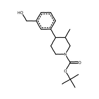 CC1CN(C(=O)OC(C)(C)C)CCC1c1cccc(CO)c1